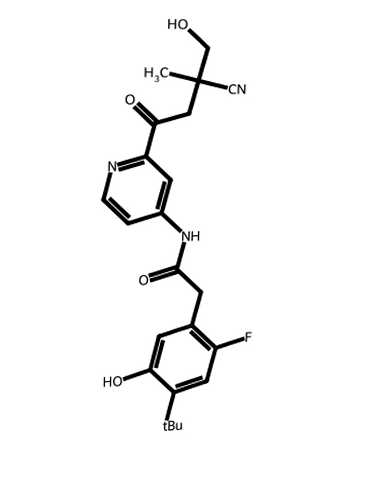 CC(C#N)(CO)CC(=O)c1cc(NC(=O)Cc2cc(O)c(C(C)(C)C)cc2F)ccn1